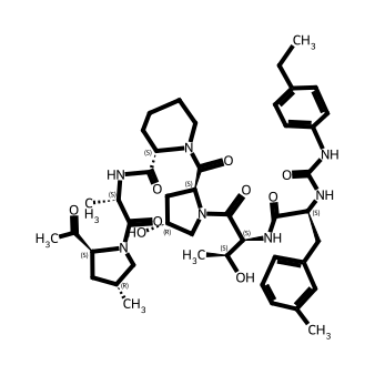 CCc1ccc(NC(=O)N[C@@H](Cc2cccc(C)c2)C(=O)N[C@H](C(=O)N2C[C@H](O)C[C@H]2C(=O)N2CCCC[C@H]2C(=O)N[C@@H](C)C(=O)N2C[C@H](C)C[C@H]2C(C)=O)[C@H](C)O)cc1